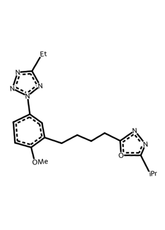 CCc1nnn(-c2ccc(OC)c(CCCCc3nnc(C(C)C)o3)c2)n1